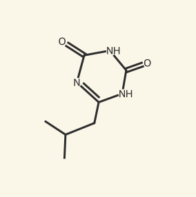 CC(C)Cc1nc(=O)[nH]c(=O)[nH]1